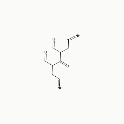 N=[C]CC([C]=O)C(=O)C([C]=O)C[C]=N